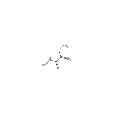 C=C(CN)C(=O)NC(C)C